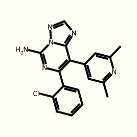 Cc1cc(-c2c(-c3ccccc3Cl)nc(N)n3ncnc23)cc(C)n1